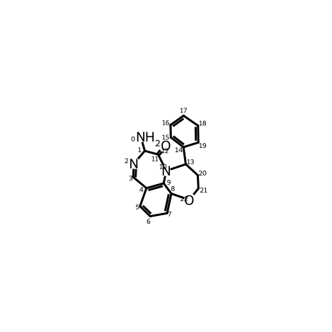 NC1N=Cc2cccc3c2N(C1=O)C(c1ccccc1)CCO3